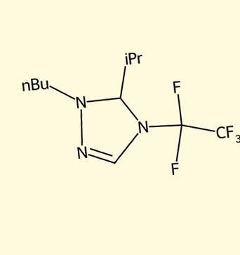 CCCCN1N=CN(C(F)(F)C(F)(F)F)C1C(C)C